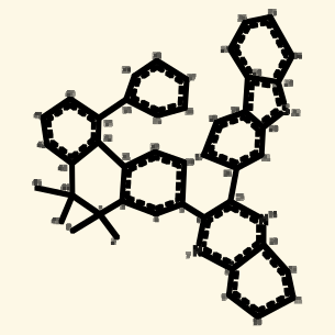 CC1(C)c2cc(-c3nc4ccccc4nc3-c3ccc4c(c3)sc3ccccc34)ccc2-c2c(-c3ccccc3)cccc2C1(C)C